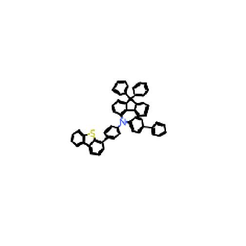 c1ccc(-c2ccc(N(c3ccc(-c4cccc5c4sc4ccccc45)cc3)c3cccc4c3-c3ccccc3C4(c3ccccc3)c3ccccc3)cc2)cc1